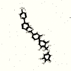 Cc1ccc(-c2ccc3nc(-c4ccc(-c5cc(F)c(C(F)(F)Oc6cc(F)c(F)c(F)c6)c(F)c5)c(F)c4)sc3c2)nc1